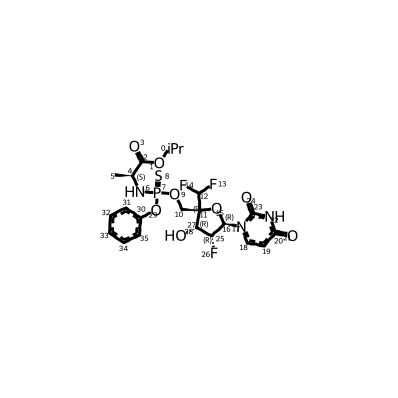 CC(C)OC(=O)[C@H](C)NP(=S)(OC[C@@]1(C(F)F)O[C@@H](n2ccc(=O)[nH]c2=O)[C@H](F)[C@@H]1O)Oc1ccccc1